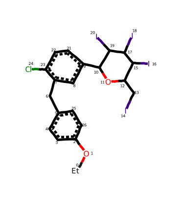 CCOc1ccc(Cc2cc(C3OC(CI)C(I)C(I)C3I)ccc2Cl)cc1